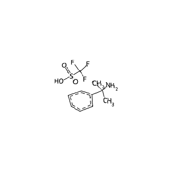 CC(C)(N)c1ccccc1.O=S(=O)(O)C(F)(F)F